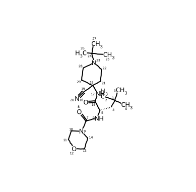 CC(C)(C)C[C@H](NC(=O)N1CCOCC1)C(=O)NC1(C#N)CCN(C(C)(C)C)CC1